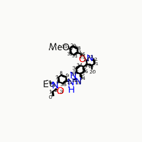 C=CC(=O)N(CC)c1cccc(Nc2ncc3cc(-c4c(C)ccnc4OCc4ccc(OC)cc4)ccc3n2)c1